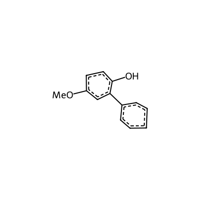 COc1ccc(O)c(-c2ccccc2)c1